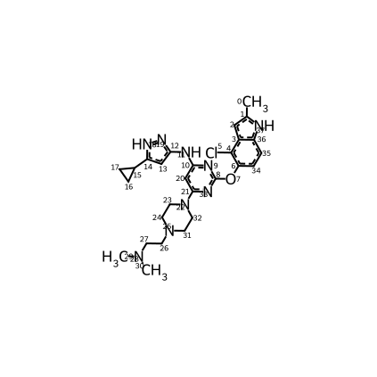 Cc1cc2c(Cl)c(Oc3nc(Nc4cc(C5CC5)[nH]n4)cc(N4CCN(CCN(C)C)CC4)n3)ccc2[nH]1